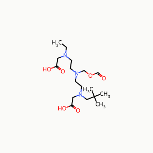 CCN(CCN(CCN(CC(=O)O)CC(C)(C)C)COC=O)CC(=O)O